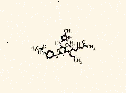 CCCN(CCNCC(C)=O)c1nc(Sc2ccc(NC(C)=O)cc2)nc(Nc2cc(C)[nH]n2)c1OC